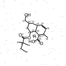 CCC(C)(C)C(=O)OC1CC(CO)CC2C=CC(C)C(C(=O)O)[C@H]21